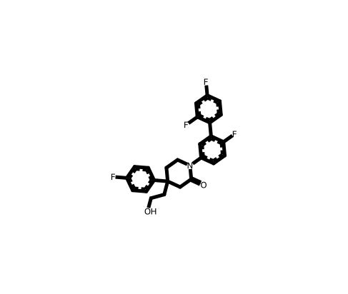 O=C1CC(CCO)(c2ccc(F)cc2)CCN1c1ccc(F)c(-c2ccc(F)cc2F)c1